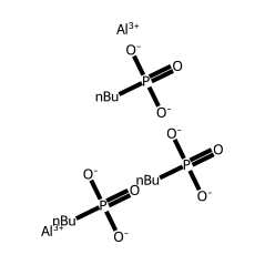 CCCCP(=O)([O-])[O-].CCCCP(=O)([O-])[O-].CCCCP(=O)([O-])[O-].[Al+3].[Al+3]